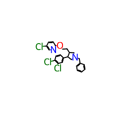 Clc1ccc(OCCC2CN(Cc3ccccc3)CC2c2ccc(Cl)c(Cl)c2)nc1